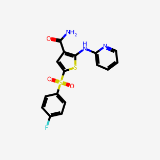 NC(=O)c1cc(S(=O)(=O)c2ccc(F)cc2)sc1Nc1ccccn1